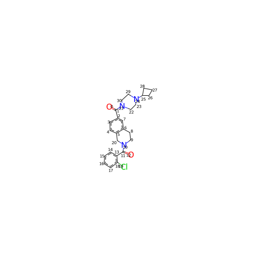 O=C(c1ccc2c(c1)CCN(C(=O)c1ccccc1Cl)C2)N1CCN(C2CCC2)CC1